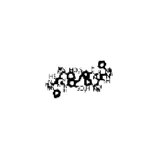 O=S(=O)(O)c1cc(Nc2nc(-c3nnnn3-c3ccccc3)c(S)c(-c3nnnn3-c3ccccc3)n2)ccc1C=Cc1ccc(Nc2nc(-c3nnnn3-c3ccccc3)c(S)c(-c3nnnn3-c3ccccc3)n2)cc1S(=O)(=O)O